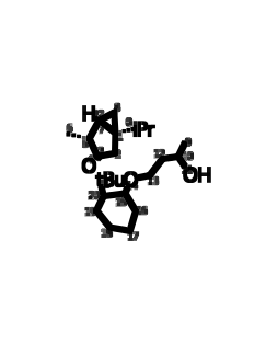 CC(C)[C@]12CC(=O)[C@H](C)[C@H]1C2.CC(O)CCOC1CCCCC1C(C)(C)C